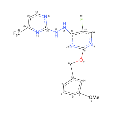 COc1cccc(COc2ncc(F)c(NNc3nccc(C(F)(F)F)n3)n2)c1